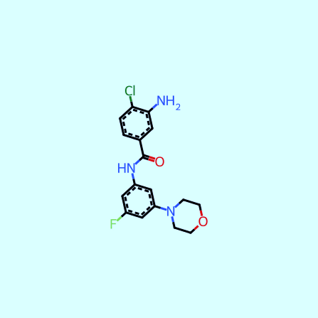 Nc1cc(C(=O)Nc2cc(F)cc(N3CCOCC3)c2)ccc1Cl